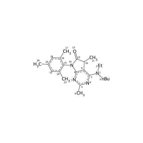 CCCCN(CC)c1nc(C)nc2c1C(C)C(=O)N2c1c(C)cc(C)cc1C